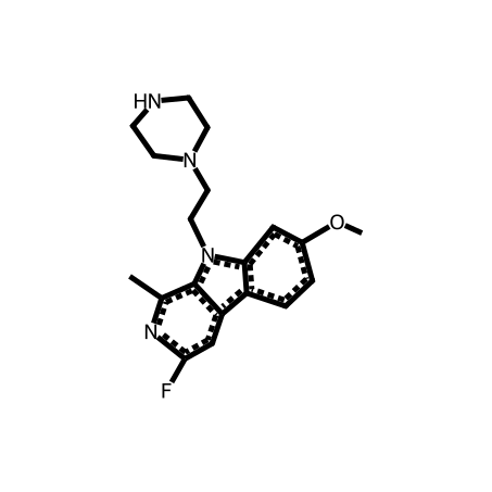 COc1ccc2c3cc(F)nc(C)c3n(CCN3CCNCC3)c2c1